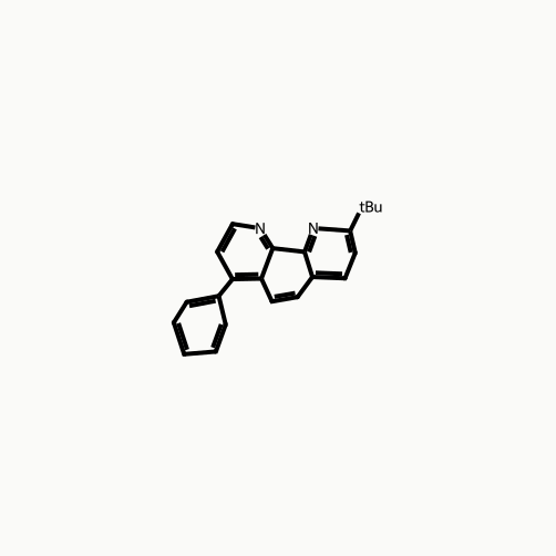 CC(C)(C)c1ccc2ccc3c(-c4ccccc4)ccnc3c2n1